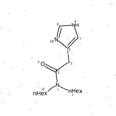 CCCCCCN(CCCCCC)C(=O)Cc1c[nH]cn1